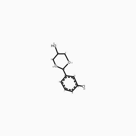 OC1COC(c2cccc(Cl)c2)OC1